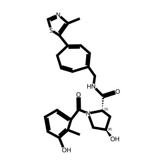 Cc1ncsc1C1=CC=C(CNC(=O)[C@@H]2C[C@@H](O)CN2C(=O)c2cccc(O)c2C)C=CC1